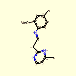 COc1cc(C)ccc1N=CCc1nccc(C)n1